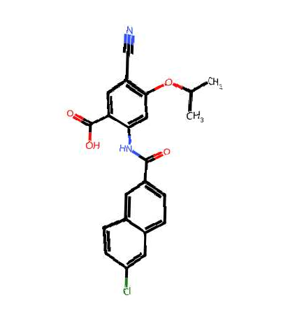 CC(C)Oc1cc(NC(=O)c2ccc3cc(Cl)ccc3c2)c(C(=O)O)cc1C#N